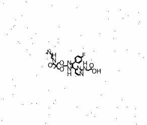 CN(C)CCNC(=O)C1(C)COC(c2nc(-c3ccc(F)cc3)c(-c3ccnc(NCC(=O)O)n3)[nH]2)OC1